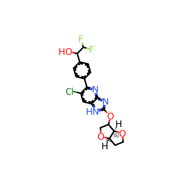 OC(c1ccc(-c2nc3nc(OC4CO[C@@H]5CCO[C@H]45)[nH]c3cc2Cl)cc1)C(F)F